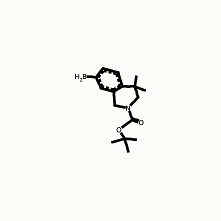 Bc1ccc2c(c1)CN(C(=O)OC(C)(C)C)CC2(C)C